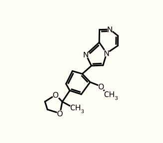 COc1cc(C2(C)OCCO2)ccc1-c1cn2ccncc2n1